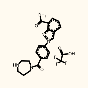 NC(=O)c1cccc2cn(-c3ccc(C(=O)N4CCCNCC4)cc3)nc12.O=C(O)C(F)(F)F